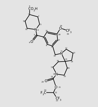 O=C(O)C1CCN(C(=O)c2cc(CN3CCCC34CCN(C(=O)OC(C(F)(F)F)C(F)(F)F)CC4)cc(OC(F)(F)F)c2)CC1